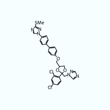 CSc1ncn(-c2ccc(-c3ccc(OCC4COC(Cn5cncn5)(c5ccc(Cl)cc5Cl)O4)cc3)cc2)n1